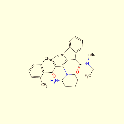 CCCCN(CC(F)(F)F)C(=O)C1c2ccccc2-c2ccc(C(=O)c3c(C(F)(F)F)cccc3C(F)(F)F)c(N3CCCCC3N)c21